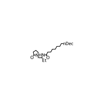 CCCCCCCCCCCCCCCCCC(=O)NC([CH]N1CCCC1=O)CC